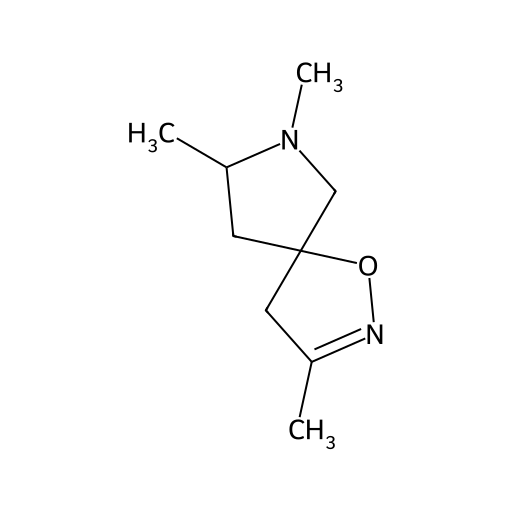 CC1=NOC2(C1)CC(C)N(C)C2